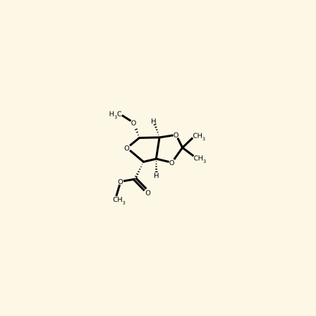 COC(=O)[C@@H]1O[C@H](OC)[C@H]2OC(C)(C)O[C@H]21